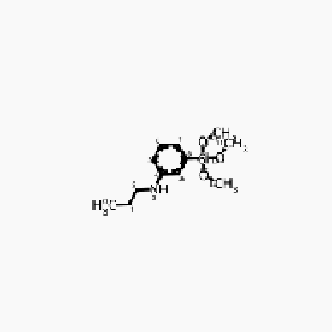 CCCNc1cccc([Si](OC)(OC)OC)c1